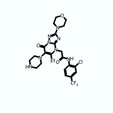 CCc1c(N2CCNCC2)c(=O)n2nc(N3CCOCC3)nc2n1CC(=O)Nc1ccc(C(F)(F)F)cc1Cl